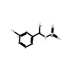 O=[SH](=O)O[C](Br)c1cccc(F)c1